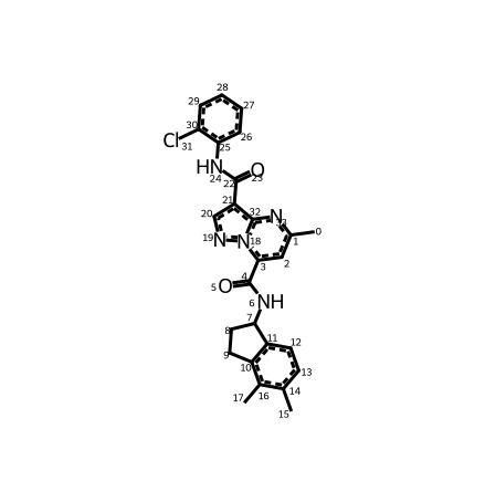 Cc1cc(C(=O)NC2CCc3c2ccc(C)c3C)n2ncc(C(=O)Nc3ccccc3Cl)c2n1